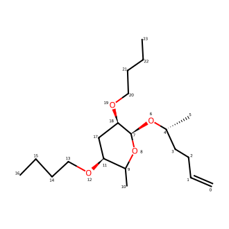 C=CCC[C@@H](C)O[C@H]1OC(C)[C@@H](OCCCC)C[C@H]1OCCCC